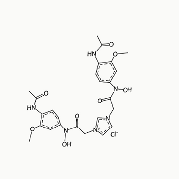 COc1cc(N(O)C(=O)Cn2cc[n+](CC(=O)N(O)c3ccc(NC(C)=O)c(OC)c3)c2)ccc1NC(C)=O.[Cl-]